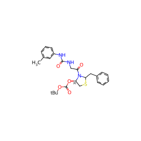 Cc1cccc(NC(=O)NCC(=O)N2C(Cc3ccccc3)SC[C@H]2OC(=O)OC(C)(C)C)c1